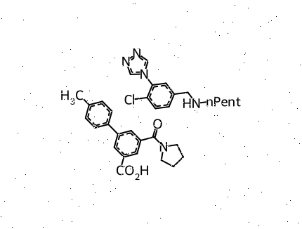 CCCCCNCc1ccc(Cl)c(-n2cnnc2)c1.Cc1ccc(-c2cc(C(=O)O)cc(C(=O)N3CCCC3)c2)cc1